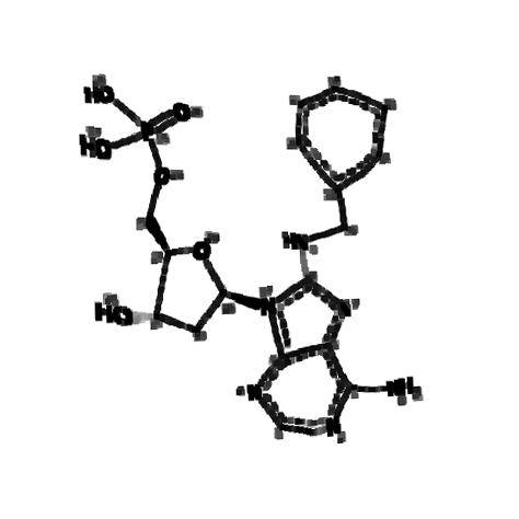 Nc1ncnc2c1nc(NCc1ccccc1)n2[C@H]1C[C@H](O)[C@@H](COP(=O)(O)O)O1